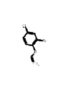 C=COc1ccc(Cl)cc1Br